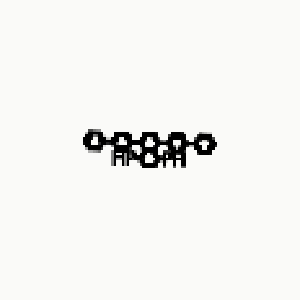 c1ccc(-c2ccc3c(c2)Pc2ccc4c5c(ccc-3c25)-c2ccc(-c3ccccc3)cc2P4)cc1